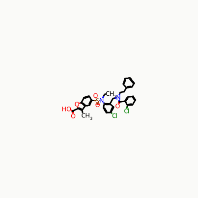 CCN(c1ccc(Cl)cc1CN(CCc1ccccc1)C(=O)c1ccccc1Cl)S(=O)(=O)c1ccc2oc(C(=O)O)c(C)c2c1